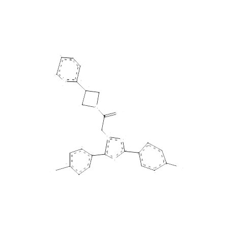 O=C(Cn1nc(-c2ccc(F)cc2)nc1-c1ccc(F)cc1)N1CC(c2ccccn2)C1